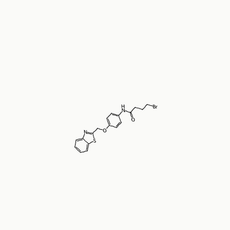 O=C(CCCBr)Nc1ccc(OCc2nc3ccccc3s2)cc1